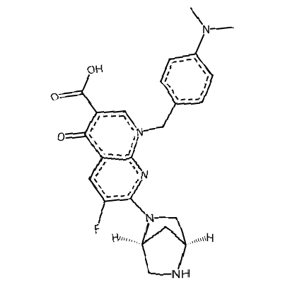 CN(C)c1ccc(Cn2cc(C(=O)O)c(=O)c3cc(F)c(N4C[C@@H]5C[C@H]4CN5)nc32)cc1